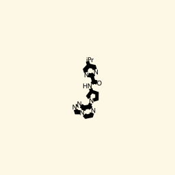 CC(C)c1cnc(C(=O)NC2CCN(c3nccn4cnnc34)C2)nc1